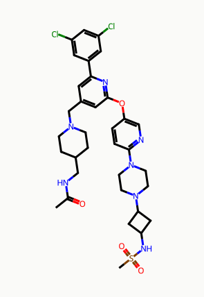 CC(=O)NCC1CCN(Cc2cc(Oc3ccc(N4CCN(C5CC(NS(C)(=O)=O)C5)CC4)nc3)nc(-c3cc(Cl)cc(Cl)c3)c2)CC1